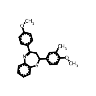 COc1ccc(C2=Nc3ccccc3SC(c3ccc(OC)c(C)c3)C2)cc1